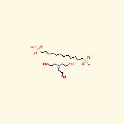 O=S(=O)(O)CCCCCCCCCCCCS(=O)(=O)O.OCCN(CCO)CCO